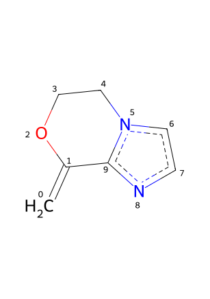 C=C1OCCn2ccnc21